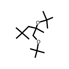 CC(C)(C)CC(C)(COC(C)(C)C)OC(C)(C)C